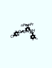 CCCN(CCC)c1cc(N/N=C/c2cccc(C)c2)nc(OCCOc2ccc(Cl)cn2)c1